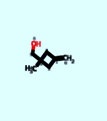 C=C1CC(C)(CO)C1